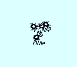 COc1ccc2nc(NC(CC(=O)c3ccccc3F)c3ccccc3Cl)sc2c1